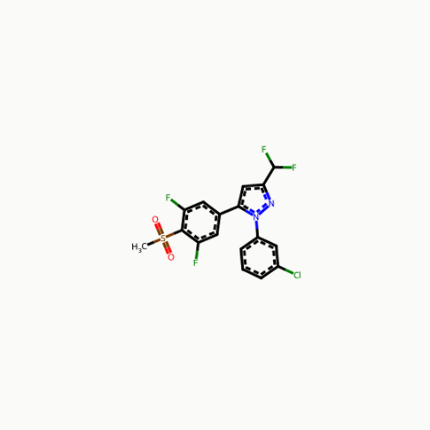 CS(=O)(=O)c1c(F)cc(-c2cc(C(F)F)nn2-c2cccc(Cl)c2)cc1F